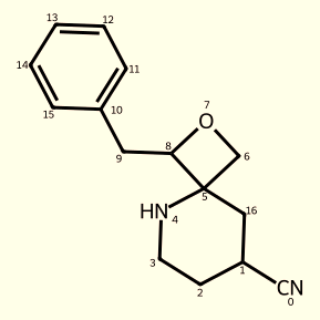 N#CC1CCNC2(COC2Cc2ccccc2)C1